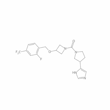 O=C(N1CC(OCc2ccc(C(F)(F)F)cc2F)C1)N1CCC(c2cnc[nH]2)C1